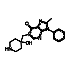 Cc1nc2c(=O)n(CC3(O)CCNCC3)cnc2n1-c1ccccc1